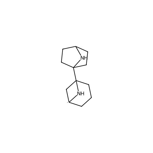 C1C[C]2CC(C34CCC(CC3)N4)(C1)N2